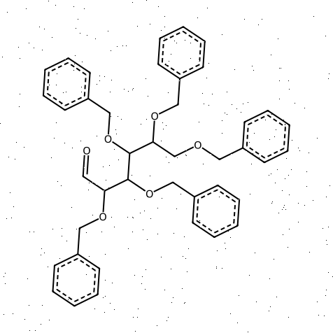 O=CC(OCc1ccccc1)C(OCc1ccccc1)C(OCc1ccccc1)C(COCc1ccccc1)OCc1ccccc1